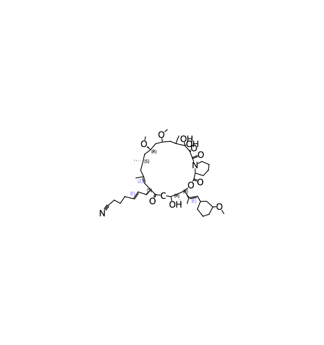 COC1CCCC(/C=C(\C)[C@@H]2OC(=O)C3CCCCN3C(=O)C(=O)C(O)(O)C(C)CC(OC)C[C@H](OC)C[C@@H](C)C/C(C)=C\[C@H](C/C=C/CCCC#N)C(=O)CC(O)[C@H]2C)C1